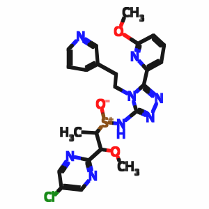 COc1cccc(-c2nnc(N[S+]([O-])C(C)C(OC)c3ncc(Cl)cn3)n2CCc2cccnc2)n1